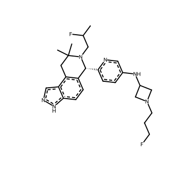 CC(F)CN1[C@H](c2ccc(NC3CN(CCCF)C3)cn2)c2ccc3[nH]ncc3c2CC1(C)C